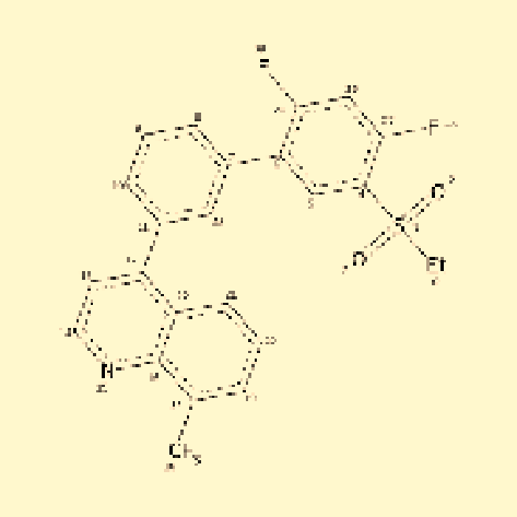 CCS(=O)(=O)c1cc(-c2cccc(-c3ccnc4c(C(F)(F)F)cccc34)c2)c(F)cc1F